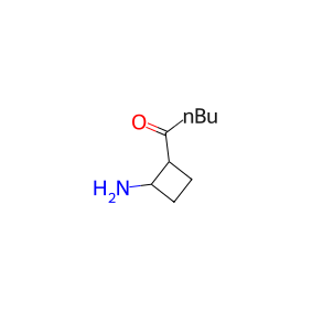 CCCCC(=O)C1CCC1N